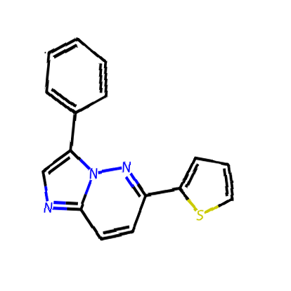 [c]1cccc(-c2cnc3ccc(-c4cccs4)nn23)c1